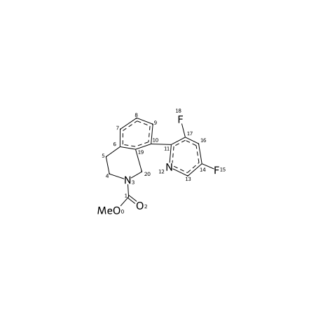 COC(=O)N1CCc2cccc(-c3ncc(F)cc3F)c2C1